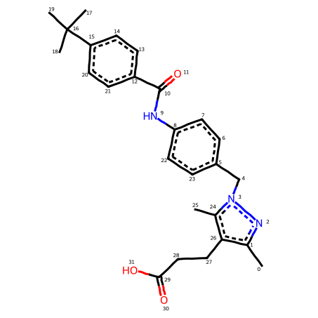 Cc1nn(Cc2ccc(NC(=O)c3ccc(C(C)(C)C)cc3)cc2)c(C)c1CCC(=O)O